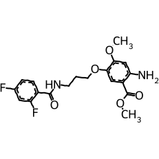 COC(=O)c1cc(OCCCNC(=O)c2ccc(F)cc2F)c(OC)cc1N